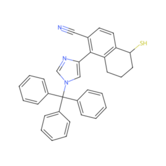 N#Cc1ccc2c(c1-c1cn(C(c3ccccc3)(c3ccccc3)c3ccccc3)cn1)CCCC2S